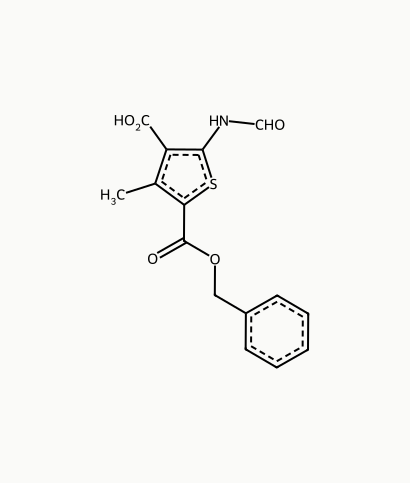 Cc1c(C(=O)OCc2ccccc2)sc(NC=O)c1C(=O)O